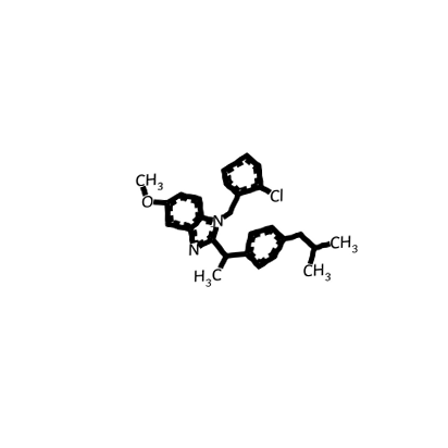 COc1ccc2c(c1)nc(C(C)c1ccc(CC(C)C)cc1)n2Cc1ccccc1Cl